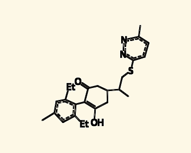 CCc1cc(C)cc(CC)c1C1=C(O)CC(C(C)CSc2ccc(C)nn2)CC1=O